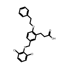 O=C(O)CCc1cc(CSc2c(Cl)cccc2Cl)ccc1OCCc1ccccc1